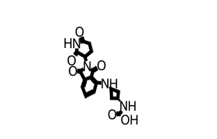 O=C1CCC(N2C(=O)c3cccc(N[C@H]4C[C@H](NC(=O)O)C4)c3C2=O)C(=O)N1